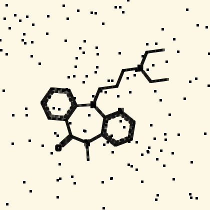 CCN(CC)CCCN1c2ccccc2C(=O)N(C)c2cccnc21